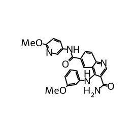 COc1cccc(Nc2c(C(N)=O)cnc3ccc(C(=O)Nc4ccc(OC)nc4)cc23)c1